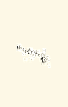 CCN(CC)CCNC(=O)c1ccc(NC(=O)CCN2CNc3c2nc(N)[nH]c3=O)cc1.Cl